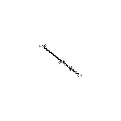 O=C(O)CCCCCCCCCCCCCCC(=O)NCCOCCOCC(=O)NCCOCCO